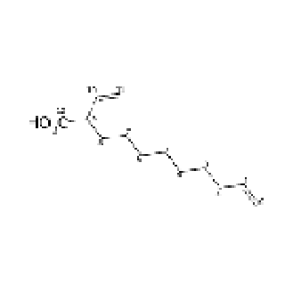 C=CCCCCCCCC(C=C)C(=O)O